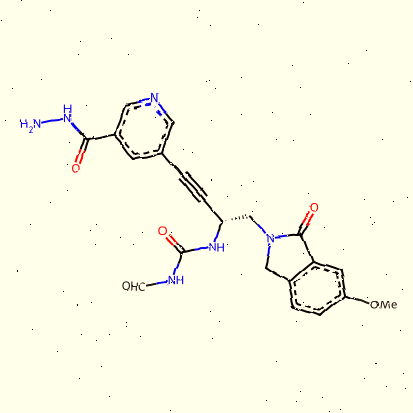 COc1ccc2c(c1)C(=O)N(C[C@@H](C#Cc1cncc(C(=O)NN)c1)NC(=O)NC=O)C2